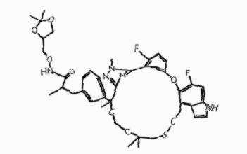 CC(Cc1cccc(C2(C)CCCC(C)(C)CSCCc3c(c(F)cc4[nH]ccc34)Oc3ccc(F)c(c3)-c3nc2nn3C)c1)C(=O)NOCC1COC(C)(C)O1